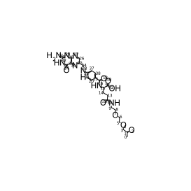 CC(=O)COCCOCCNC(=O)CCC(NC(=O)c1ccc(NCc2cnc3nc(N)[nH]c(=O)c3n2)cc1)C(=O)O